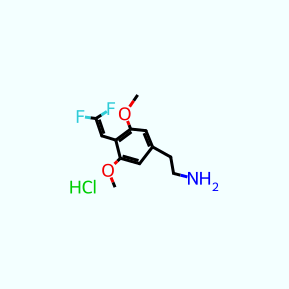 COc1cc(CCN)cc(OC)c1C=C(F)F.Cl